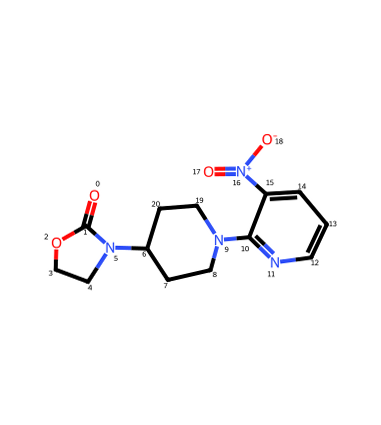 O=C1OCCN1C1CCN(c2ncccc2[N+](=O)[O-])CC1